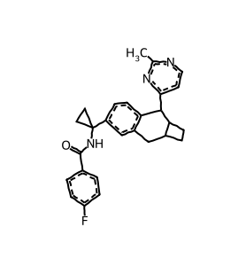 Cc1nccc(C2c3ccc(C4(NC(=O)c5ccc(F)cc5)CC4)cc3CC3CCC32)n1